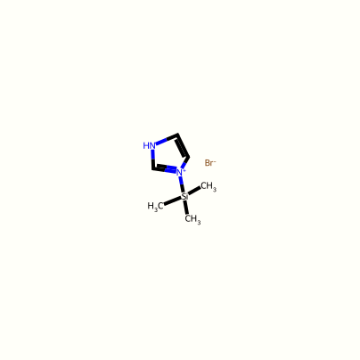 C[Si](C)(C)[n+]1cc[nH]c1.[Br-]